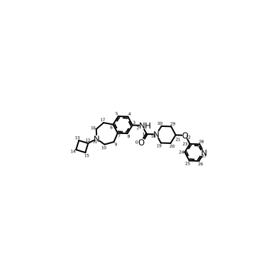 O=C(Nc1ccc2c(c1)CCN(C1CCC1)CC2)N1CCC(Oc2cccnc2)CC1